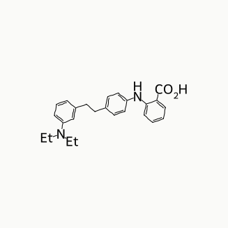 CCN(CC)c1cccc(CCc2ccc(Nc3ccccc3C(=O)O)cc2)c1